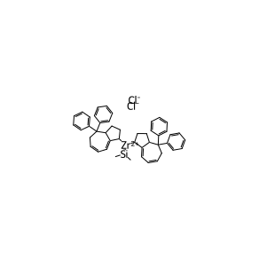 C[Si](C)=[Zr+2]([CH]1CCC2C1=CC=CCC2(c1ccccc1)c1ccccc1)[CH]1CCC2C1=CC=CCC2(c1ccccc1)c1ccccc1.[Cl-].[Cl-]